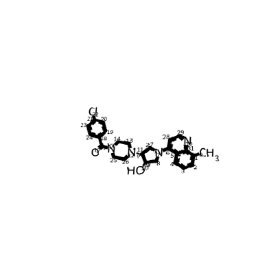 Cc1cccc2c(N3C[C@@H](O)[C@H](N4CCN(C(=O)c5ccc(Cl)cc5)CC4)C3)ccnc12